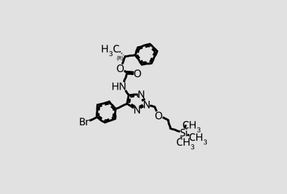 C[C@@H](OC(=O)Nc1nn(COCC[Si](C)(C)C)nc1-c1ccc(Br)cc1)c1ccccc1